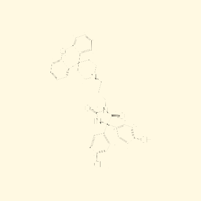 Cc1ccc(C2(c3ccc(C)cc3)NC(=O)N(CCCN3CCC4(CC3)c3ccccc3Oc3ccccc34)C2=O)cc1